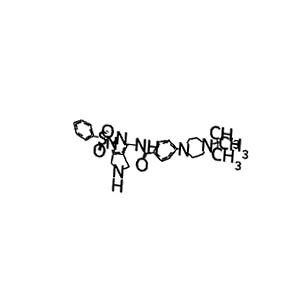 CC(C)(C)N1CCN(c2ccc(C(=O)Nc3nn(S(=O)(=O)c4ccccc4)c4c3CNC4)cc2)CC1